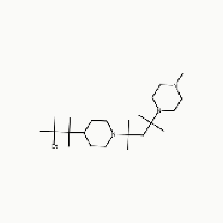 CCC(C)(C)C(C)(C)C1CCN(C(C)(C)CC(C)(C)N2CCN(C)CC2)CC1